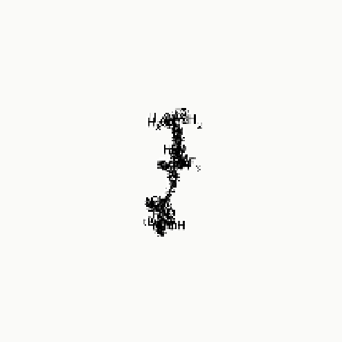 C=C(CCC1=C(CN2CCN(c3ccc(C(=O)NS(=O)(=O)c4ccc(N[C@H](CCN5CCN(CCCCCCCCOc6cc(-c7scnc7C)ccc6CNC(=O)[C@@H]6C[C@@H](O)CC6C(=O)[C@@H](NC(=O)C6(F)CC6)C(C)(C)C)CC5)CSc5ccccc5)c(S(=O)(=O)C(F)(F)F)c4)cc3)CC2)CCC(C)(C)C1)C(F)F